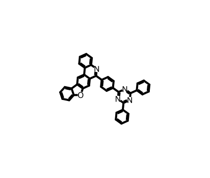 c1ccc(-c2nc(-c3ccccc3)nc(-c3ccc(-c4nc5ccccc5c5cc6c(cc45)oc4ccccc46)cc3)n2)cc1